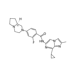 Cc1cn2cc(NC(=O)c3ccc(N4CCN5CCC[C@H]5C4)cc3F)nc(C3CC3)c2n1